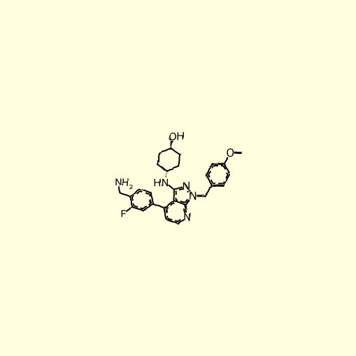 COc1ccc(Cn2nc(N[C@H]3CC[C@H](O)CC3)c3c(-c4ccc(CN)c(F)c4)ccnc32)cc1